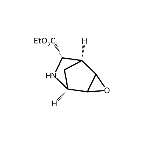 CCOC(=O)[C@H]1N[C@H]2C[C@@H]1C1OC12